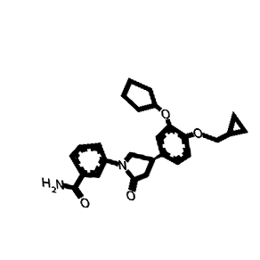 NC(=O)c1cccc(N2C[C@@H](c3ccc(OCC4CC4)c(OC4CCCC4)c3)CC2=O)c1